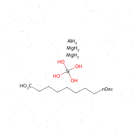 CCCCCCCCCCCCCCCCCC(=O)O.O[Si](O)(O)O.[AlH3].[MgH2].[MgH2]